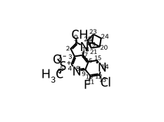 Cc1cc2c([S+](C)[O-])nc3c(F)c(Cl)ncc3c2n1C1C2CCC1C2